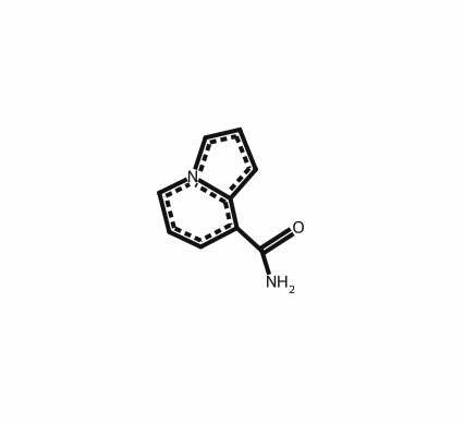 NC(=O)c1cccn2cccc12